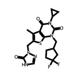 Cc1c(Cn2nc[nH]c2=O)sc2c1c(=O)n(C1CC1)c(=O)n2CC1CCC(F)(F)C1